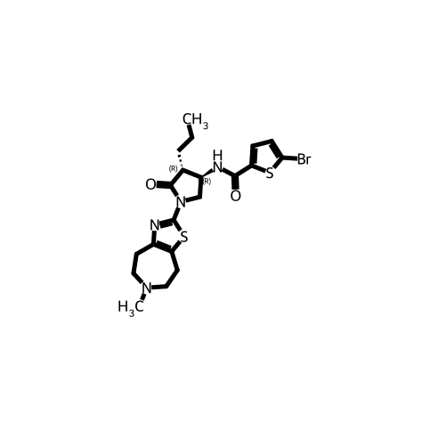 CCC[C@H]1C(=O)N(c2nc3c(s2)CCN(C)CC3)C[C@@H]1NC(=O)c1ccc(Br)s1